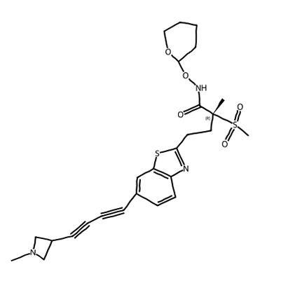 CN1CC(C#CC#Cc2ccc3nc(CC[C@](C)(C(=O)NOC4CCCCO4)S(C)(=O)=O)sc3c2)C1